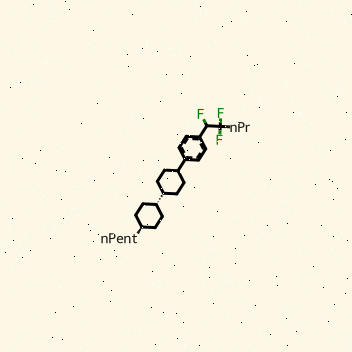 CCCCC[C@H]1CC[C@H](C2CCC(c3ccc(C(F)C(F)(F)CCC)cc3)CC2)CC1